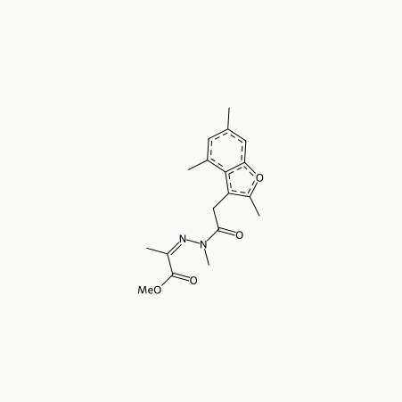 COC(=O)C(C)=NN(C)C(=O)Cc1c(C)oc2cc(C)cc(C)c12